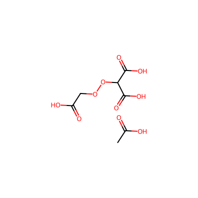 CC(=O)O.O=C(O)COOC(C(=O)O)C(=O)O